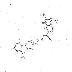 COc1ccc(C(=O)CCCCN2CCN(c3ccccc3OC)CC2)cc1NC(C)=O